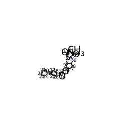 CN1C(=O)S/C(=C\c2ccc(OCC(=O)c3ccc(-c4ccccc4)cc3)cc2)C1=O